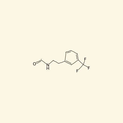 O=[C]NCCc1cccc(C(F)(F)F)c1